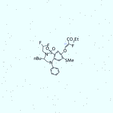 CCCCC1CN(c2ccccc2)c2cc(SC)c(O/C=C(\F)C(=O)OCC)cc2S(=O)(=O)N1CC(F)F